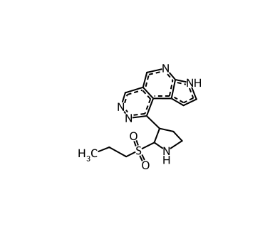 CCCS(=O)(=O)C1NCCC1c1nncc2cnc3[nH]ccc3c12